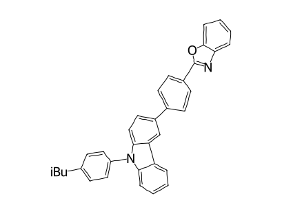 CCC(C)c1ccc(-n2c3ccccc3c3cc(-c4ccc(-c5nc6ccccc6o5)cc4)ccc32)cc1